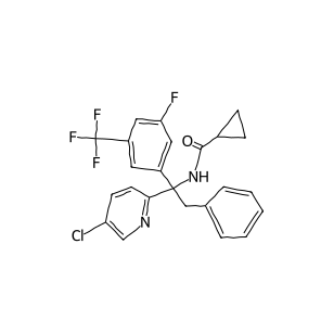 O=C(NC(Cc1ccccc1)(c1cc(F)cc(C(F)(F)F)c1)c1ccc(Cl)cn1)C1CC1